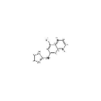 Brc1cc(NC2=NCCN2)cc2nccnc12